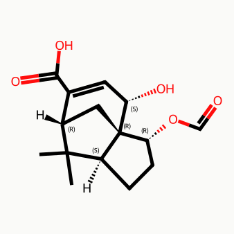 CC1(C)[C@H]2C[C@@]3([C@@H](O)C=C2C(=O)O)[C@H](OC=O)CC[C@@H]13